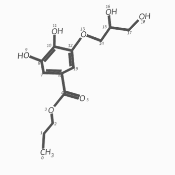 CCCOC(=O)c1cc(O)c(O)c(OCC(O)CO)c1